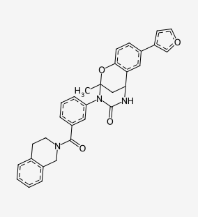 CC12CC(NC(=O)N1c1cccc(C(=O)N3CCc4ccccc4C3)c1)c1cc(-c3ccoc3)ccc1O2